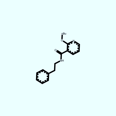 CCCCOc1ncccc1C(=O)NCCc1ccccc1